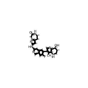 Cc1c(-c2cc3cc(Nc4cc5n(n4)CC(=O)NCC5)ncc3cc2F)cnc2c1NCC[C@@H]2O